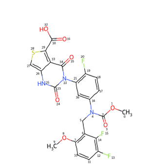 COC(=O)N(Cc1c(OC)ccc(F)c1F)c1ccc(F)c(-n2c(=O)[nH]c3csc(C(=O)O)c3c2=O)c1